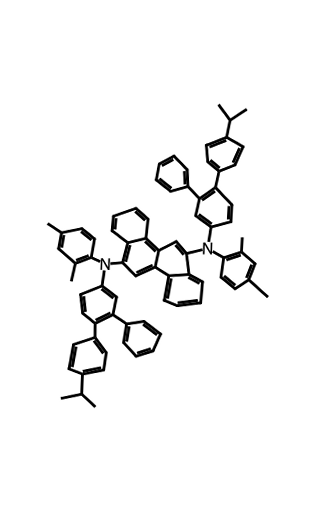 Cc1ccc(N(c2ccc(-c3ccc(C(C)C)cc3)c(-c3ccccc3)c2)c2cc3c4ccccc4c(N(c4ccc(-c5ccc(C(C)C)cc5)c(-c5ccccc5)c4)c4ccc(C)cc4C)cc3c3ccccc23)c(C)c1